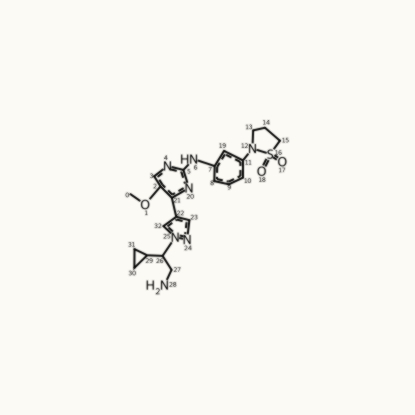 COc1cnc(Nc2cccc(N3CCCS3(=O)=O)c2)nc1-c1cnn(C(CN)C2CC2)c1